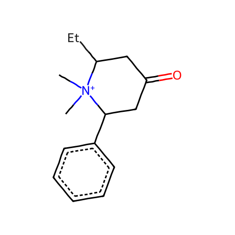 CCC1CC(=O)CC(c2ccccc2)[N+]1(C)C